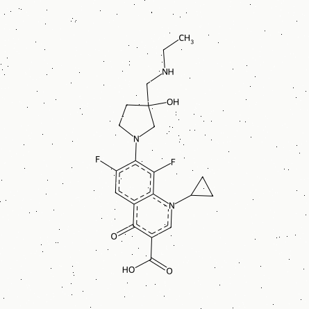 CCNCC1(O)CCN(c2c(F)cc3c(=O)c(C(=O)O)cn(C4CC4)c3c2F)C1